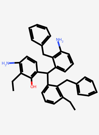 CCc1cccc(C(c2ccc(N)c(CC)c2O)c2cccc(N)c2Cc2ccccc2)c1Cc1ccccc1